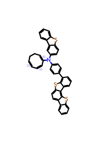 C1=C/CC\C=C(N(c2ccc(-c3cccc4c3sc3ccc5c6ccccc6sc5c34)cc2)c2ccc3sc4ccccc4c3c2)/C=C\1